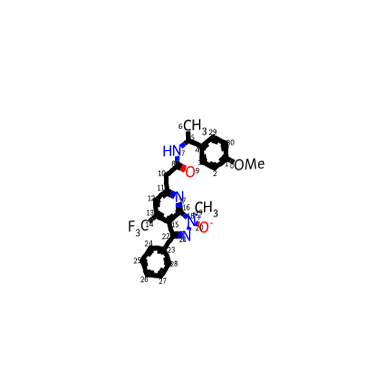 COc1ccc(C(C)NC(=O)Cc2cc(C(F)(F)F)c3c(n2)[N+](C)([O-])N=C3c2ccccc2)cc1